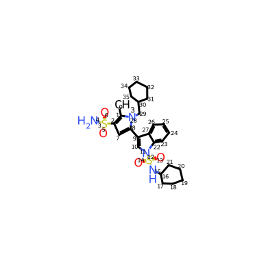 Cc1c(S(N)(=O)=O)cc(-c2cn(S(=O)(=O)NC3CCCCC3)c3ccccc23)n1CC1CCCCC1